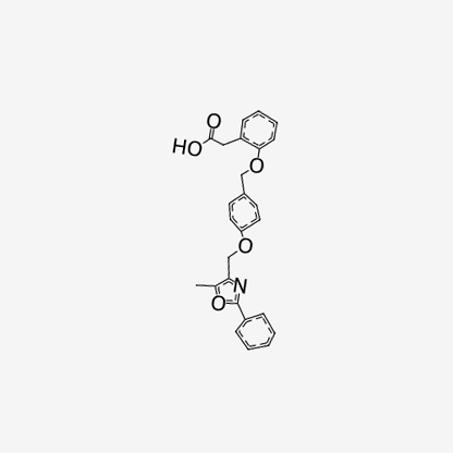 Cc1oc(-c2ccccc2)nc1COc1ccc(COc2ccccc2CC(=O)O)cc1